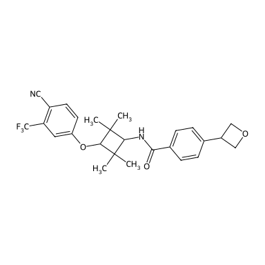 CC1(C)C(NC(=O)c2ccc(C3COC3)cc2)C(C)(C)C1Oc1ccc(C#N)c(C(F)(F)F)c1